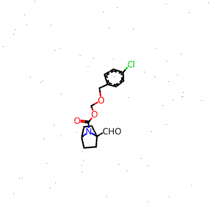 O=CC12CCC(CC1)N2C(=O)OCOCc1ccc(Cl)cc1